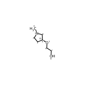 CN1CC[C@H](OCCO)C1